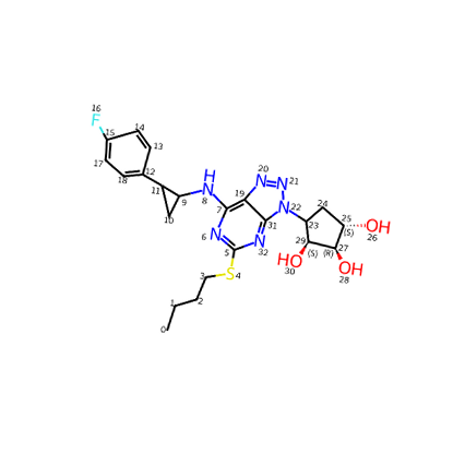 CCCCSc1nc(NC2CC2c2ccc(F)cc2)c2nnn(C3C[C@H](O)[C@@H](O)[C@H]3O)c2n1